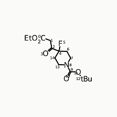 CCOC(=O)CC(=O)C1(F)CCN(C(=O)OC(C)(C)C)CC1